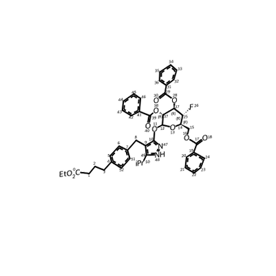 CCOC(=O)CCCc1ccc(Cc2c(OC3O[C@H](COC(=O)c4ccccc4)[C@@H](F)[C@H](OC(=O)c4ccccc4)[C@H]3OC(=O)c3ccccc3)n[nH]c2C(C)C)cc1